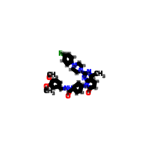 COc1ccc(CNC(=O)c2ccc(-n3c(=O)ccc4c(C)nc(N5CCN(c6ccc(F)cc6)CC5)nc43)cc2)cc1OC